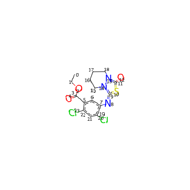 CCOC(=O)c1cc(/N=c2/sc(=O)n3n2CCCC3)c(Cl)cc1Cl